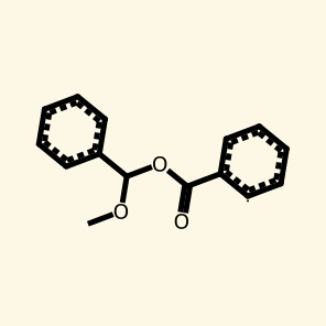 COC(OC(=O)c1[c]cccc1)c1ccccc1